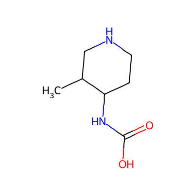 CC1CNCCC1NC(=O)O